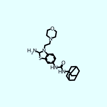 NC1Sc2cc(NC(=O)NC34CC5CC(CC(C5)C3)C4)ccc2N1CCN1CCOCC1